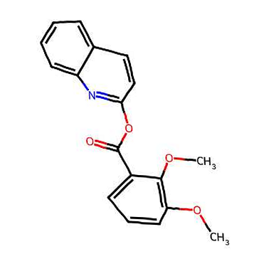 COc1cccc(C(=O)Oc2ccc3ccccc3n2)c1OC